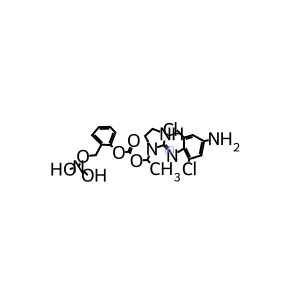 CC(OC(=O)Oc1ccccc1CON(O)O)N1CCN/C1=N\c1c(Cl)cc(N)cc1Cl